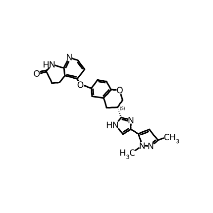 Cc1cc(-c2c[nH]c([C@H]3COc4ccc(Oc5ccnc6c5CCC(=O)N6)cc4C3)n2)n(C)n1